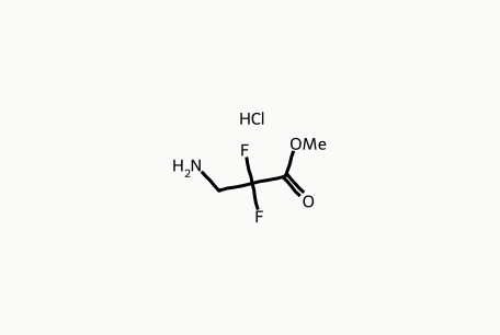 COC(=O)C(F)(F)CN.Cl